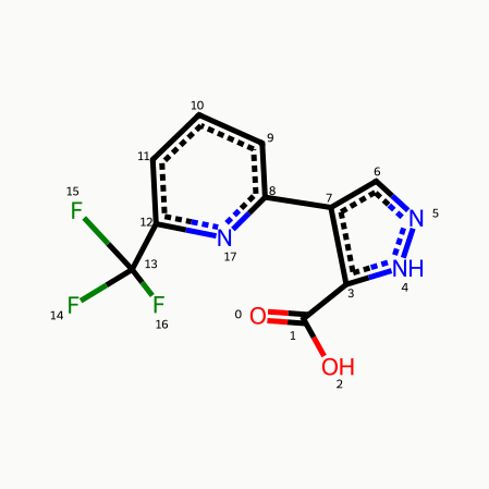 O=C(O)c1[nH]ncc1-c1cccc(C(F)(F)F)n1